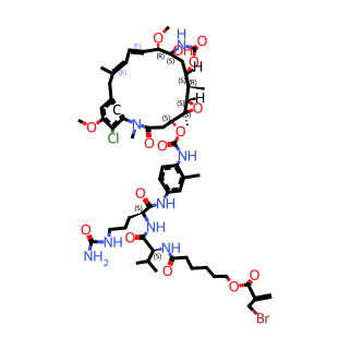 C=C(CBr)C(=O)OCCCCCC(=O)N[C@H](C(=O)N[C@@H](CCCNC(N)=O)C(=O)Nc1ccc(NC(=O)O[C@H]2CC(=O)N(C)c3cc(cc(OC)c3Cl)C/C(C)=C/C=C/[C@@H](OC)[C@@]3(O)C[C@H](OC(=O)N3)[C@@H](C)[C@@H]3O[C@@]23C)c(C)c1)C(C)C